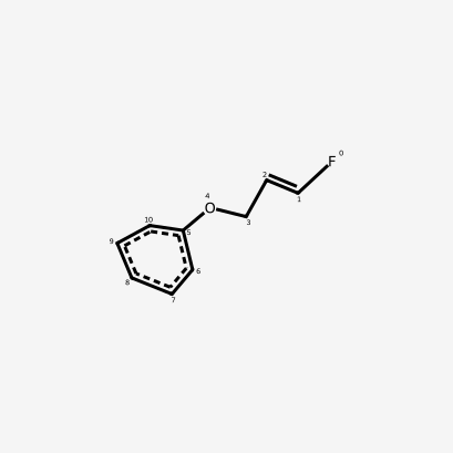 FC=CCOc1ccccc1